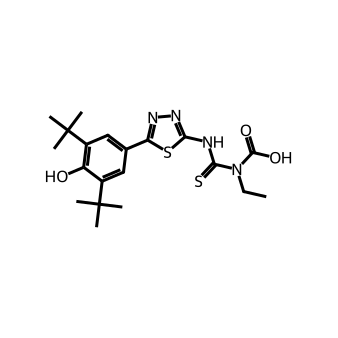 CCN(C(=O)O)C(=S)Nc1nnc(-c2cc(C(C)(C)C)c(O)c(C(C)(C)C)c2)s1